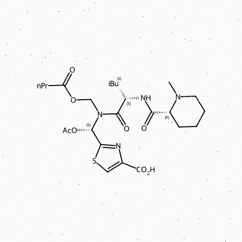 CCCC(=O)OCN(C(=O)[C@@H](NC(=O)[C@H]1CCCCN1C)[C@@H](C)CC)[C@@H](OC(C)=O)c1nc(C(=O)O)cs1